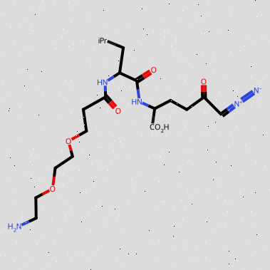 CC(C)CC(NC(=O)CCOCCOCCN)C(=O)NC(CCC(=O)C=[N+]=[N-])C(=O)O